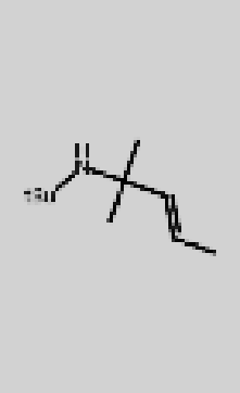 CC=CC(C)(C)NC(C)(C)C